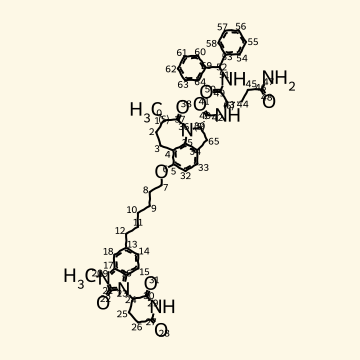 C[C@H]1CCc2c(OCCCCCCc3ccc4c(c3)n(C)c(=O)n4C3CCC(=O)NC3=O)ccc3c2N(C1=O)[C@H](C(=O)N[C@@H](CCC(N)=O)C(=O)NC(c1ccccc1)c1ccccc1)C3